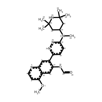 COc1ccnc2cc(-c3ccc(N(C)C4CC(C)(C)NC(C)(C)C4)nn3)c(OC=O)cc12